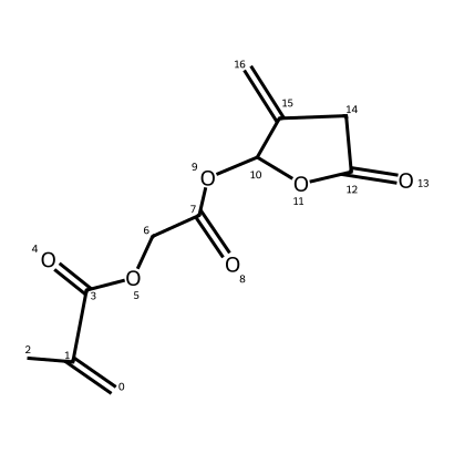 C=C(C)C(=O)OCC(=O)OC1OC(=O)CC1=C